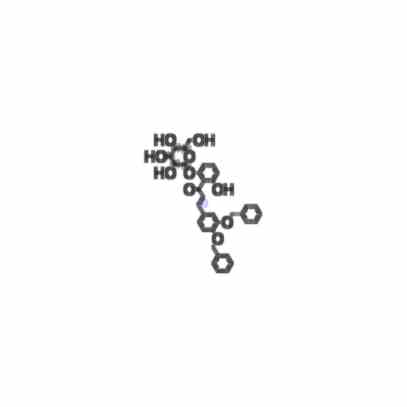 O=C(/C=C/c1ccc(OCc2ccccc2)c(OCc2ccccc2)c1)c1c(O)cccc1O[C@@H]1O[C@H](CO)[C@@H](O)[C@H](O)[C@H]1O